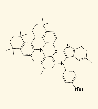 CC1=Cc2c(sc3c2N(c2ccc(C(C)(C)C)cc2)c2cc(C)cc4c2B3c2ccc3c5c2N4c2c(C)cc4c(c2C5(C)CCC3(C)C)C(C)(C)CCC4(C)C)CC1